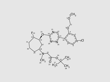 COCOc1cc(Cl)ccc1-c1cnc(O[C@H]2CC(N(C)CC(=O)OC(C)(C)C)CCCC2F)nn1